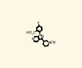 N#CB1CCCC(c2nn(-c3ccc(F)cc3C(=O)O)c3cnccc23)C1